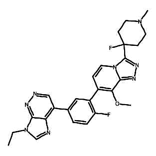 CCn1cnc2c(-c3ccc(F)c(-c4ccn5c(C6(F)CCN(C)CC6)nnc5c4OC)c3)cnnc21